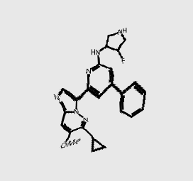 COc1cc2ncc(-c3cc(-c4ccccc4)cc(NC4CNCC4F)n3)n2nc1C1CC1